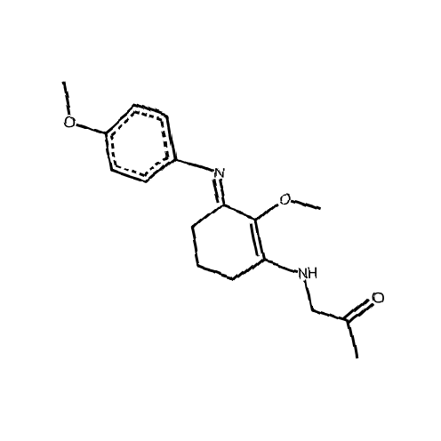 COC1=C(NCC(C)=O)CCC/C1=N\c1ccc(OC)cc1